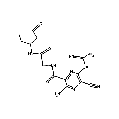 CCC(CC=O)NC(=O)CNC(=O)c1nc(NC(=N)N)c(C#N)nc1N